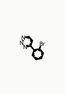 Brc1ccccc1-c1ccnnn1